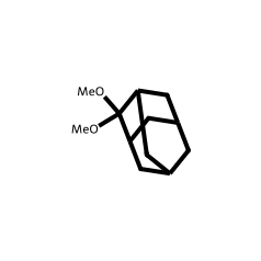 COC1(OC)C2CC3CC(C2)CC1C3